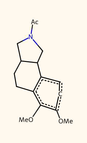 COc1ccc2c(c1OC)CCC1CN(C(C)=O)CC21